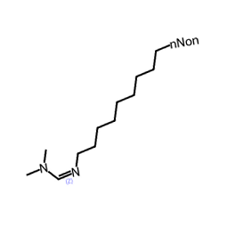 CCCCCCCCCCCCCCCCCC/N=C\N(C)C